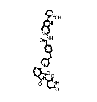 CN1CCC[C@@H]1c1cc2cnc(NC(=O)c3ccc(CC4CCN(c5cccc6c5C(=O)N(C5CCC(=O)NC5=O)C6=O)CC4)cc3)cc2[nH]1